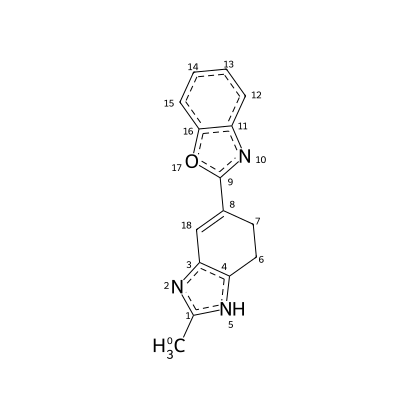 Cc1nc2c([nH]1)CCC(c1nc3ccccc3o1)=C2